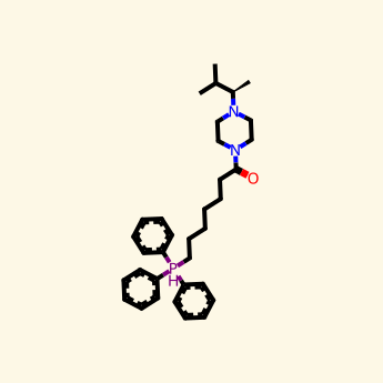 CC(C)[C@@H](C)N1CCN(C(=O)CCCCCC[PH](c2ccccc2)(c2ccccc2)c2ccccc2)CC1